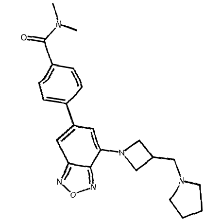 CN(C)C(=O)c1ccc(-c2cc(N3CC(CN4CCCC4)C3)c3nonc3c2)cc1